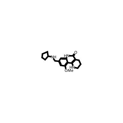 COc1cc(CNC2CCCC2)cc2[nH]c(=O)c3c(c12)NCCC3